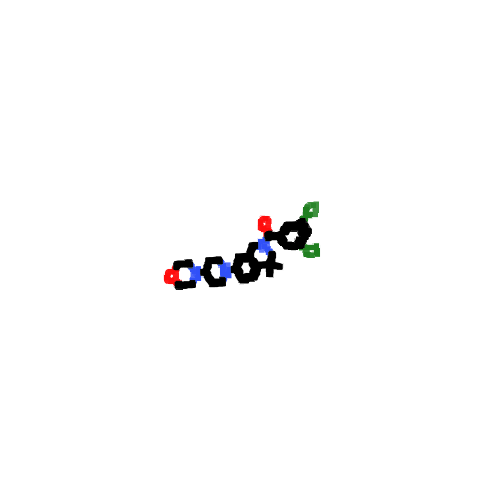 CC1(C)CN(C(=O)c2cc(Cl)cc(Cl)c2)Cc2cc(N3CCC(N4CCOCC4)CC3)ccc21